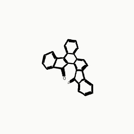 O=c1c2ccccc2c2ccc3c4ccccc4c4c5ccccc5c(=O)c4c3c12